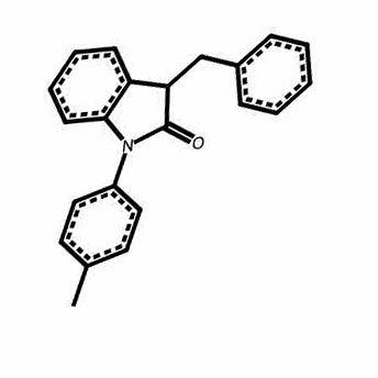 Cc1ccc(N2C(=O)C(Cc3ccccc3)c3ccccc32)cc1